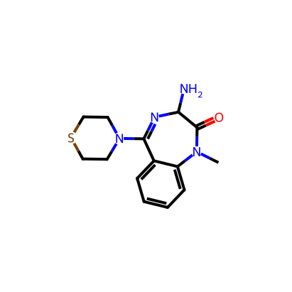 CN1C(=O)C(N)N=C(N2CCSCC2)c2ccccc21